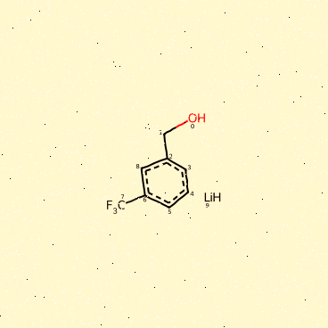 OCc1cccc(C(F)(F)F)c1.[LiH]